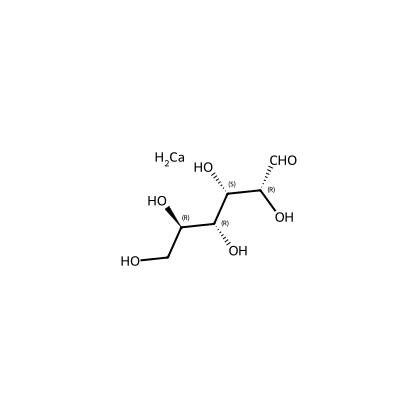 O=C[C@H](O)[C@@H](O)[C@H](O)[C@H](O)CO.[CaH2]